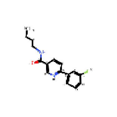 CCCCNC(=O)c1ccc(-c2cccc(F)c2)nc1